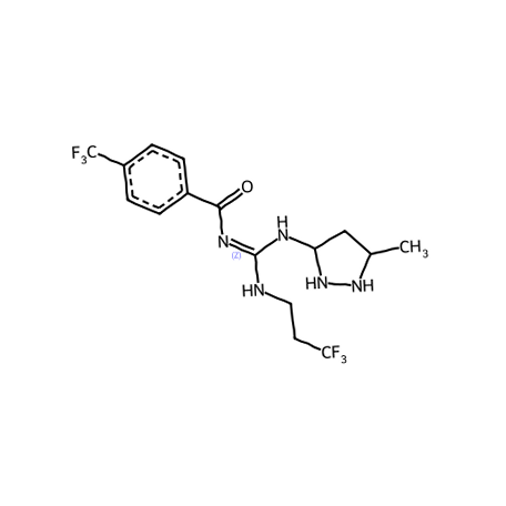 CC1CC(N/C(=N\C(=O)c2ccc(C(F)(F)F)cc2)NCCC(F)(F)F)NN1